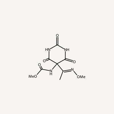 CON=C(C)C1(NC(=O)OC)C(=O)NC(=O)NC1=O